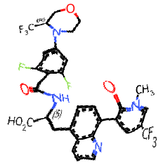 Cn1cc(C(F)(F)F)cc(-c2ccc(C[C@H](NC(=O)c3c(F)cc(N4CCOC[C@@H]4C(F)(F)F)cc3F)C(=O)O)c3cccnc23)c1=O